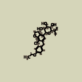 CCOc1ccc(Cc2cc([C@@H]3O[C@H](C(F)F)[C@@H](O)[C@H](O)[C@H]3O)c3c(c2Cl)OCC3)cc1